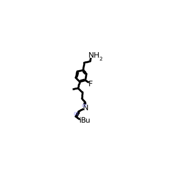 CCC(C)/C=C\N=C/CCC(C)c1ccc(CCN)cc1F